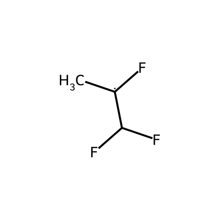 C[C](F)C(F)F